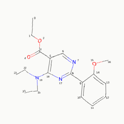 CCOC(=O)c1cnc(-c2ccccc2OC)nc1N(CC)CC